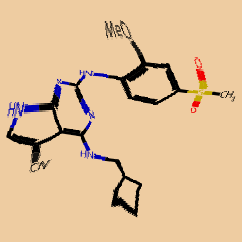 COc1cc(S(C)(=O)=O)ccc1Nc1nc(NCC2CCC2)c2c(C#N)c[nH]c2n1